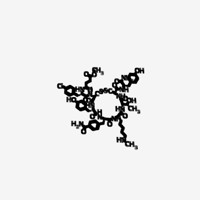 CNCCCCC[C@@H]1NC(=O)[C@@H](Cc2ccc(C(N)=O)cc2)NC(=O)[C@H](Cc2ccc(O)cc2)NC(=O)[C@H](NC(=O)[C@H](Cc2ccc(Cl)cc2)NC(=O)CCC(=O)OC)CSSC[C@@H](C(=O)N[C@H](Cc2ccc(O)cc2)C(N)=O)NC(=O)[C@H]([C@@H](C)O)NC1=O